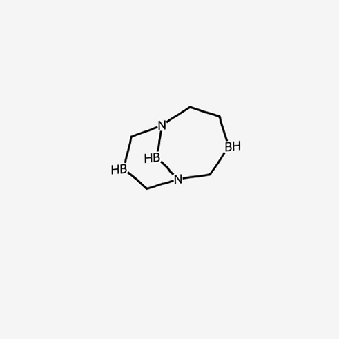 B1CCN2BN(C1)CBC2